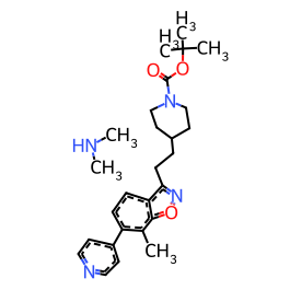 CNC.Cc1c(-c2ccncc2)ccc2c(CCC3CCN(C(=O)OC(C)(C)C)CC3)noc12